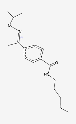 CCCCCNC(=O)c1ccc(/C(C)=N/OC(C)C)cc1